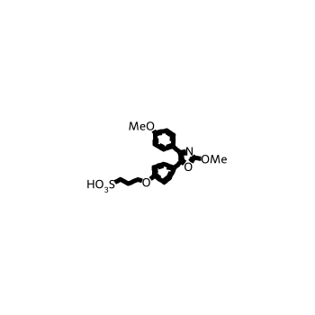 COc1ccc(-c2nc(OC)oc2-c2ccc(OCCCS(=O)(=O)O)cc2)cc1